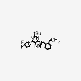 C=Cc1ccccc1Cn1nnc2c(N3CCC(F)(F)C3)nc(C(C)(C)C)nc21